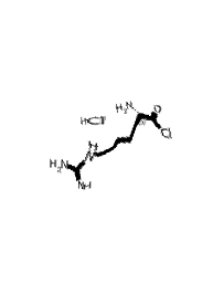 Cl.N=C(N)NCCC[C@H](N)C(=O)Cl